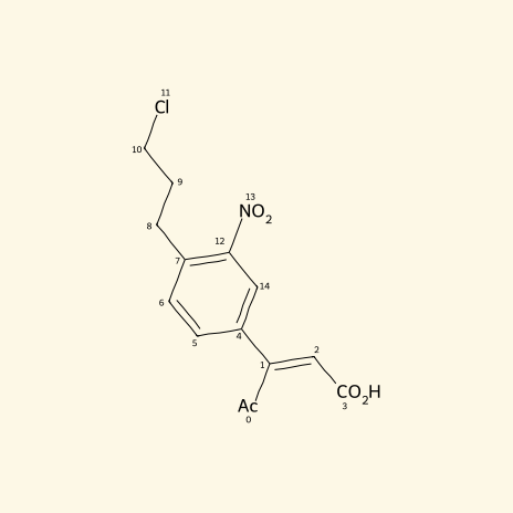 CC(=O)C(=CC(=O)O)c1ccc(CCCCl)c([N+](=O)[O-])c1